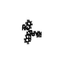 O=CN[C@H](CC[C@H](Cc1ccccc1)NC(=O)OCc1cncs1)Cc1ccccc1